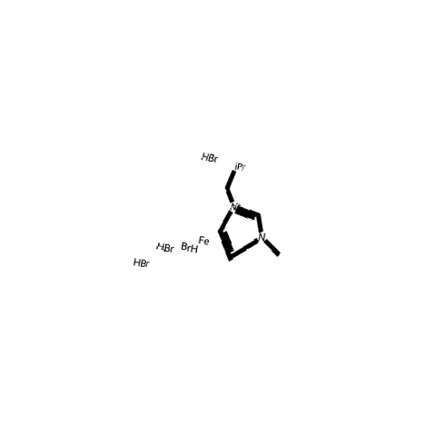 Br.Br.Br.Br.CC(C)C[n+]1ccn(C)c1.[Fe]